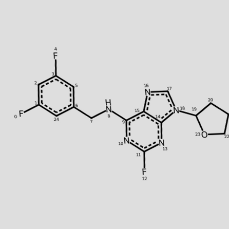 Fc1cc(F)cc(CNc2nc(F)nc3c2ncn3C2CCCO2)c1